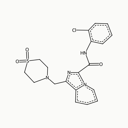 O=C(Nc1ccccc1Cl)c1nc(CN2CCS(=O)(=O)CC2)c2ccccn12